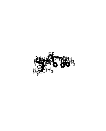 C[C@@H](CCCCC[C@@](OCc1ccccc1)(c1nnc(-c2nc(Br)c(C(F)(F)F)cc2NC(=O)OC(C)(C)C)o1)C(F)(F)F)O[Si](c1ccccc1)(c1ccccc1)C(C)(C)C